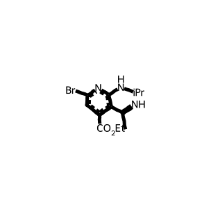 CCOC(=O)c1cc(Br)nc(NC(C)C)c1C(C)=N